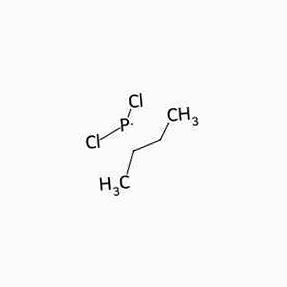 CCCC.Cl[P]Cl